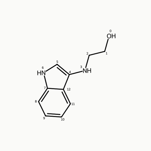 OCCNc1c[nH]c2ccccc12